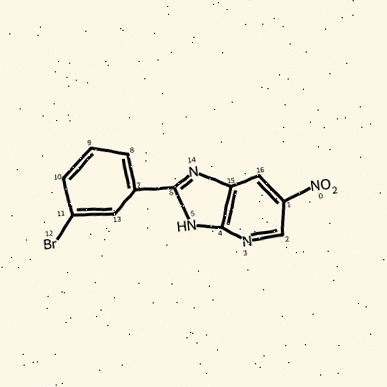 O=[N+]([O-])c1cnc2[nH]c(-c3cccc(Br)c3)nc2c1